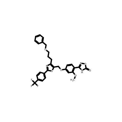 COc1cc(OCc2sc(-c3ccc(C(F)(F)F)cc3)nc2CCCOCc2ccccc2)ccc1-c1noc(=O)[nH]1